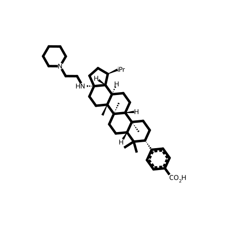 CC(C)[C@@H]1CC[C@]2(NCCN3CCCCC3)CC[C@]3(C)[C@H](CC[C@@H]4[C@@]5(C)CC[C@H](c6ccc(C(=O)O)cc6)C(C)(C)[C@@H]5CC[C@]43C)[C@@H]12